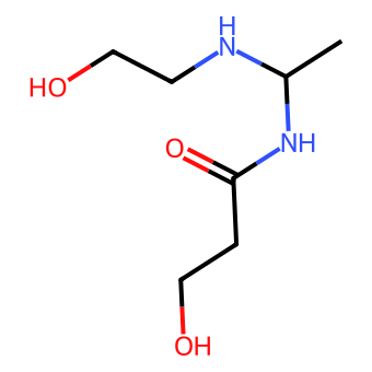 CC(NCCO)NC(=O)CCO